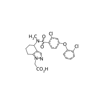 CN(C1CCCc2c1cnn2CC(=O)O)S(=O)(=O)c1ccc(Oc2ccccc2Cl)cc1Cl